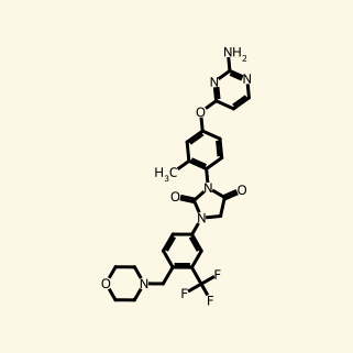 Cc1cc(Oc2ccnc(N)n2)ccc1N1C(=O)CN(c2ccc(CN3CCOCC3)c(C(F)(F)F)c2)C1=O